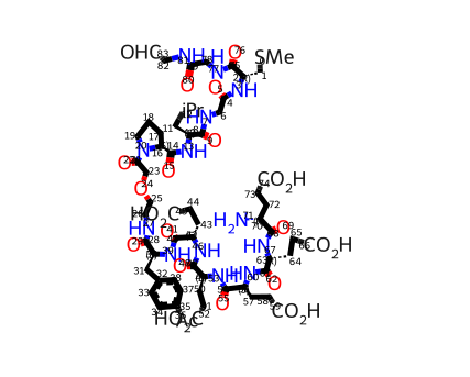 CSC[C@H](NC(=O)CNC(=O)[C@H](CC(C)C)NC(=O)[C@@H]1CCCN1C(=O)COCCNC(=O)[C@H](Cc1ccc(C(C)=O)cc1)NC(=O)[C@H](CCC(=O)O)NC(=O)[C@H](CCC(=O)O)NC(=O)[C@H](CCC(=O)O)NC(=O)[C@@H](CCC(=O)O)NC(=O)[C@H](N)CCC(=O)O)C(=O)NCC(=O)NCC=O